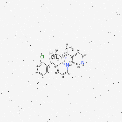 C=C(c1ccccc1Cl)c1cccnc1/C(C)=C(/C)c1ccncc1